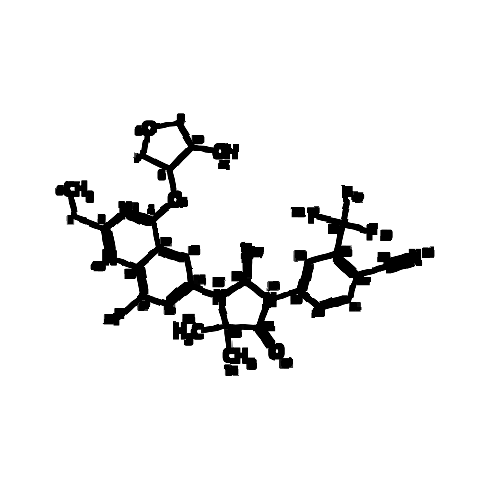 CCc1nc(OC2COCC2O)c2cc(N3C(=S)N(c4ccc(C#N)c(C(F)(F)F)c4)C(=O)C3(C)C)cc(F)c2n1